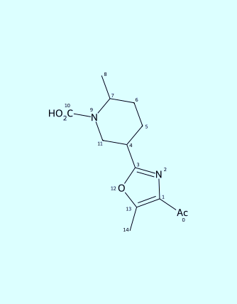 CC(=O)c1nc(C2CCC(C)N(C(=O)O)C2)oc1C